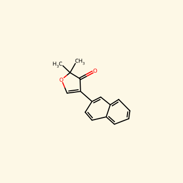 CC1(C)OC=C(c2ccc3ccccc3c2)C1=O